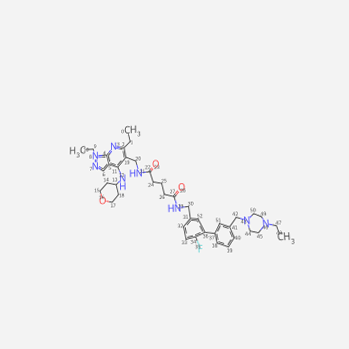 CCc1nc2c(cnn2CC)c(NC2CCOCC2)c1CNC(=O)CCCC(=O)NCc1ccc(F)c(-c2cccc(CN3CCN(CC)CC3)c2)c1